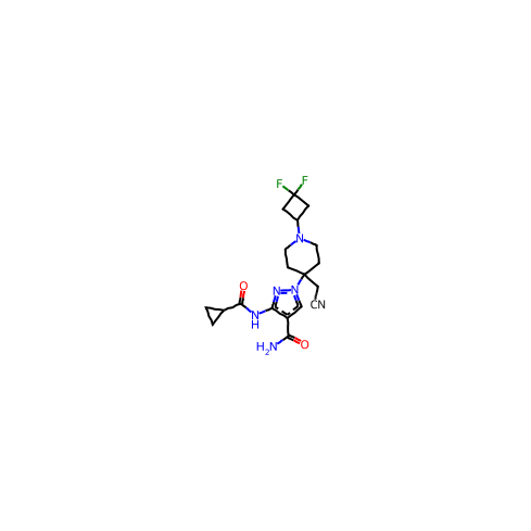 N#CCC1(n2cc(C(N)=O)c(NC(=O)C3CC3)n2)CCN(C2CC(F)(F)C2)CC1